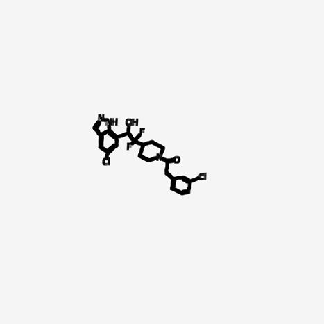 O=C(Cc1cccc(Cl)c1)N1CCC(C(F)(F)C(O)c2cc(Cl)cc3cn[nH]c23)CC1